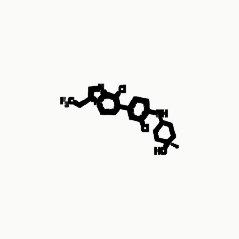 C[C@]1(O)CC[C@@H](Nc2ccc(-c3ccn4c(CC(F)(F)F)cnc4c3Cl)cc2Cl)CC1